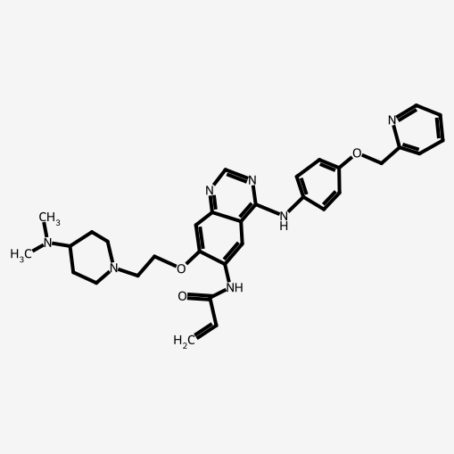 C=CC(=O)Nc1cc2c(Nc3ccc(OCc4ccccn4)cc3)ncnc2cc1OCCN1CCC(N(C)C)CC1